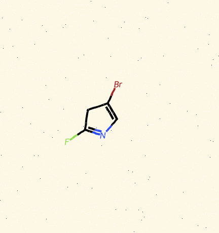 FC1=NC=C(Br)C1